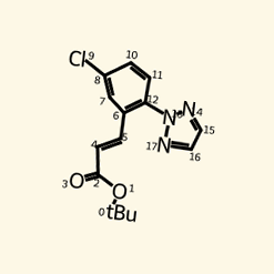 CC(C)(C)OC(=O)C=Cc1cc(Cl)ccc1-n1nccn1